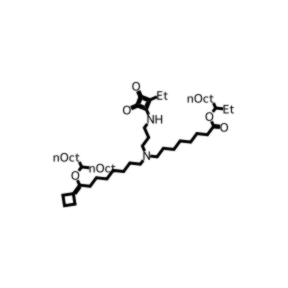 CCCCCCCCC(CC)OC(=O)CCCCCCCN(CCCCCCCC(OC(CCCCCCCC)CCCCCCCC)=C1CCC1)CCCNc1c(CC)c(=O)c1=O